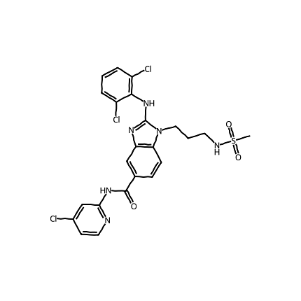 CS(=O)(=O)NCCCn1c(Nc2c(Cl)cccc2Cl)nc2cc(C(=O)Nc3cc(Cl)ccn3)ccc21